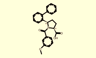 COc1cccc(C(=O)N2[C@@H](c3ccccc3-c3ccccc3)CC[C@H]2C(=O)O)c1